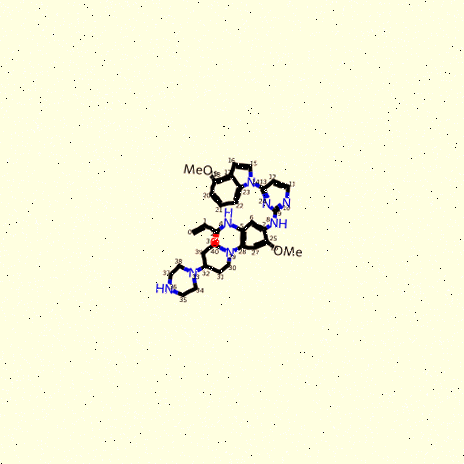 C=CC(=O)Nc1cc(Nc2nccc(-n3ccc4c(OC)cccc43)n2)c(OC)cc1N1CCC(N2CCNCC2)CC1